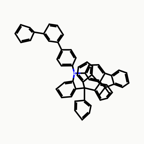 CC1(C)c2ccccc2-c2ccc(N(c3ccc(-c4cccc(-c5ccccc5)c4)cc3)c3ccccc3C3(c4ccccc4)c4ccccc4-c4ccccc43)cc21